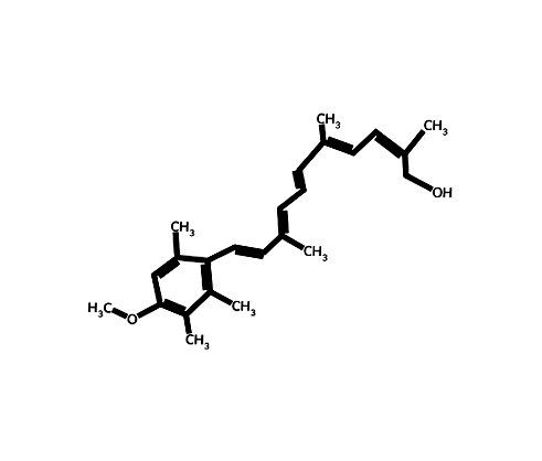 COc1cc(C)c(C=CC(C)=CC=CC(C)=CC=C(C)CO)c(C)c1C